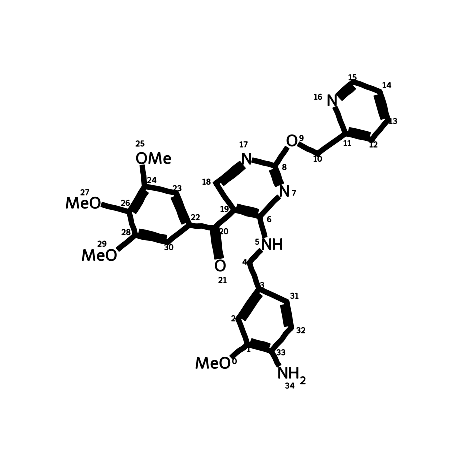 COc1cc(CNc2nc(OCc3ccccn3)ncc2C(=O)c2cc(OC)c(OC)c(OC)c2)ccc1N